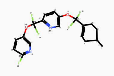 CC1CC=C(C(F)(F)Oc2ccc(C(F)(F)Oc3ccc(F)nc3)nc2)CC1